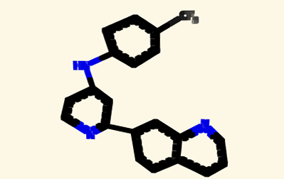 FC(F)(F)c1ccc(Nc2ccnc(-c3ccc4cccnc4c3)c2)cc1